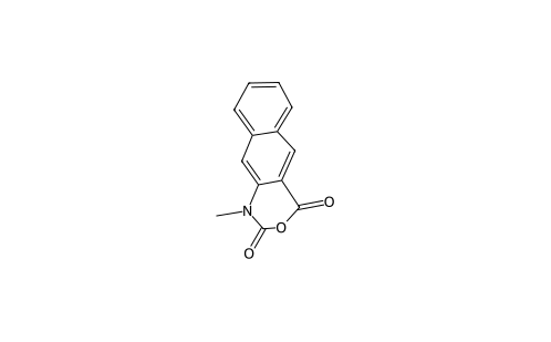 Cn1c(=O)oc(=O)c2cc3ccccc3cc21